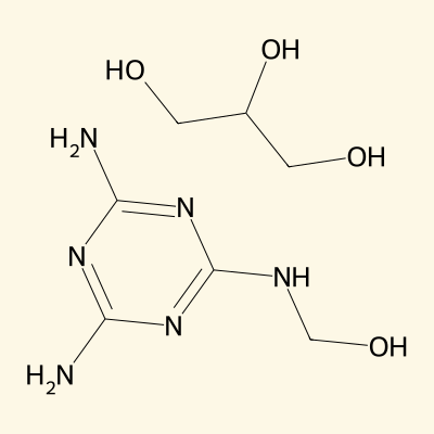 Nc1nc(N)nc(NCO)n1.OCC(O)CO